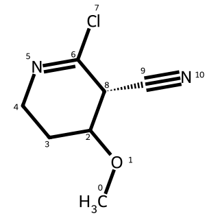 COC1CCN=C(Cl)[C@@H]1C#N